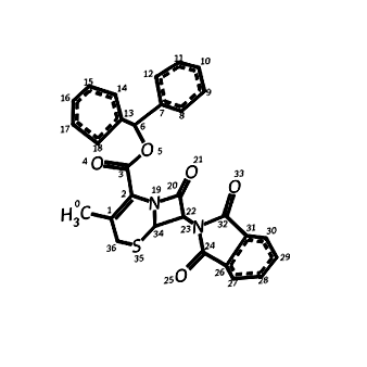 CC1=C(C(=O)OC(c2ccccc2)c2ccccc2)N2C(=O)C(N3C(=O)c4ccccc4C3=O)C2SC1